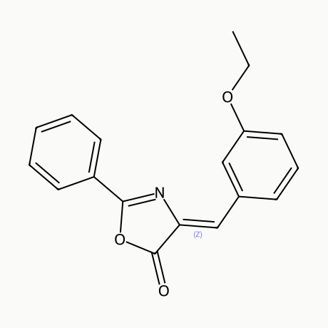 CCOc1cccc(/C=C2\N=C(c3ccccc3)OC2=O)c1